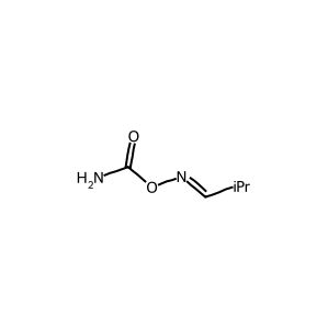 CC(C)/C=N/OC(N)=O